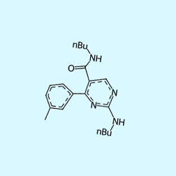 CCCCNC(=O)c1cnc(NCCCC)nc1-c1cccc(C)c1